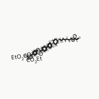 C=CC(=O)OCCCCCCC[C@H]1CC[C@H](c2ccc(-c3ccc(C(=O)Oc4ccc(C5O[C@@H](C(=O)OCC)[C@H](C(=O)OCC)O5)cc4)cc3)cc2)CC1